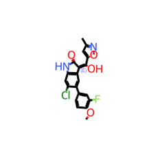 COc1ccc(-c2cc3c(cc2Cl)NC(=O)/C3=C(/O)c2cc(C)no2)cc1F